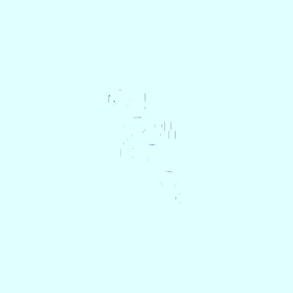 Cc1cc(-c2ccc(Cl)cc2)cc(C)c1-c1c(O)c(C)c(-c2cccnc2)oc1=O